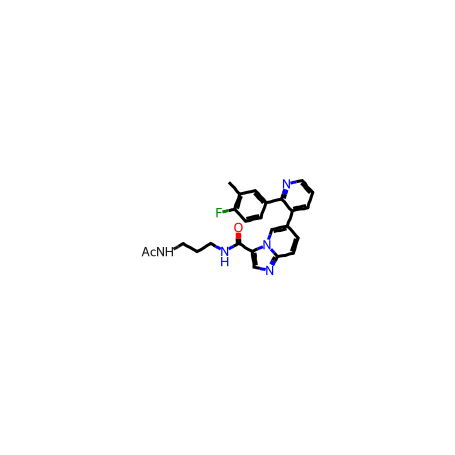 CC(=O)NCCCNC(=O)c1cnc2ccc(-c3cccnc3-c3ccc(F)c(C)c3)cn12